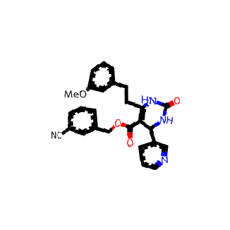 COc1cccc(CCC2=C(C(=O)OCc3cccc(C#N)c3)C(c3cccnc3)NC(=O)N2)c1